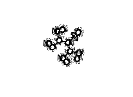 c1cc(-c2cc(-c3cc(-c4cc(-c5cncc6ccccc56)cc(-c5cncc6ccccc56)c4)nc(-c4nc5ccccc5s4)c3)cc(-c3cncc4ccccc34)c2)c2ccncc2c1